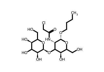 CCCCO[C@@H]1OC(CO)[C@@H](O)C(O[C@@H]2OC(CO)[C@H](O)C(O)[C@@H]2O)[C@@H]1NC(=O)CCl